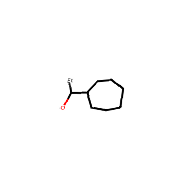 CCC([O])C1CCCCCC1